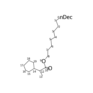 CCCCCCCCCCCCCCCCCCOC(=O)C(C)C1CCCCC1